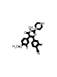 COc1ccc(-c2c(-c3ccc(C#N)c(F)c3)nc(N3CCNCC3)n(C)c2=O)cc1F